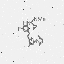 CNCC(Nc1cc(F)cc(CCc2cc(C)cc(-n3c(C)ccc3C)n2)c1)C1CC1